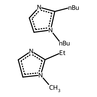 CCCCc1nccn1CCCC.CCc1nccn1C